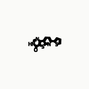 O=c1[nH]cnc2c1sc1nc(-c3cccs3)ccc12